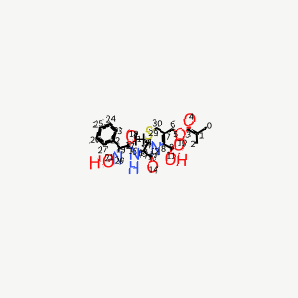 CC(C)C(=O)OCC1=C(C(=O)O)N2C(=O)[C@@H](NC(=O)C(=NO)c3ccccc3)[C@@H]2SC1